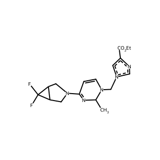 CCOC(=O)c1cn(CN2C=CC(N3CC4C(C3)C4(F)F)=NC2C)cn1